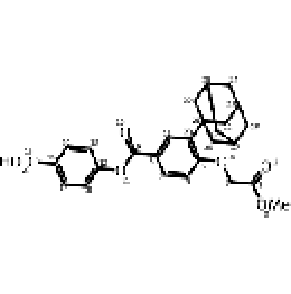 COC(=O)COc1ccc(C(=O)Oc2ccc(C(=O)O)cc2)cc1C12CC3CC(CC(C3)C1)C2